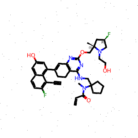 C#Cc1c(F)ccc2cc(O)cc(C3=Cc4nc(OC[C@]5(C)C[C@@H](F)CN5CCO)nc(NCC5(N(C)C(=O)C=C)CCCC5)c4CC3)c12